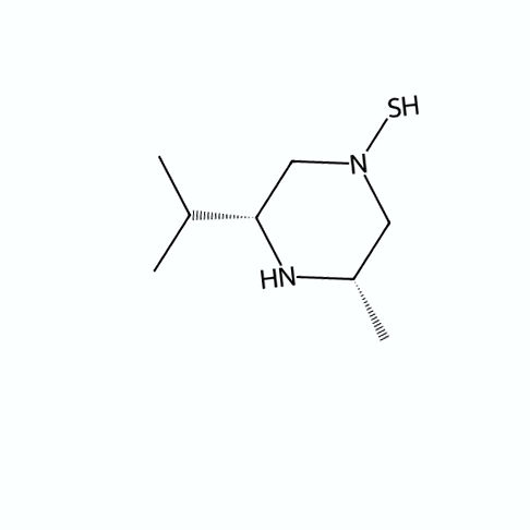 CC(C)[C@@H]1CN(S)C[C@H](C)N1